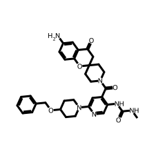 CNC(=O)Nc1cnc(N2CCC(OCc3ccccc3)CC2)cc1C(=O)N1CCC2(CC1)CC(=O)c1cc(N)ccc1O2